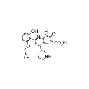 CCOC(=O)c1cc2c(C3CCCNC3)cc(-c3c(O)cccc3OCC3CC3)nc2[nH]c1=O